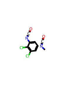 CN=C=O.O=C=Nc1cccc(Cl)c1Cl